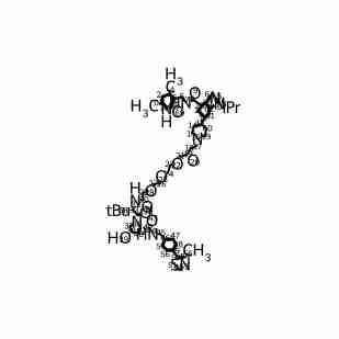 Cc1cc(C)c(CNC(=O)c2cc(C3=CCN(CCC(=O)COCCOCCOCC(=O)N[C@H](C(=O)N4C[C@H](O)C[C@H]4C(=O)NCc4ccc(-c5scnc5C)cc4)C(C)(C)C)CC3)cc3c2cnn3C(C)C)c(=O)[nH]1